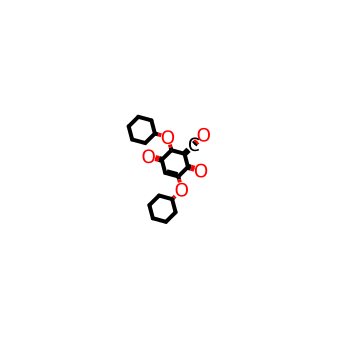 O=C=C1C(=O)C(OC2CCCCC2)=CC(=O)C1OC1CCCCC1